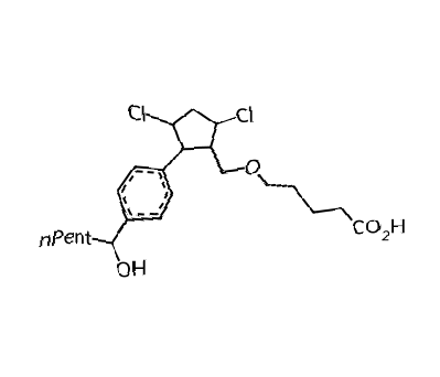 CCCCCC(O)c1ccc(C2C(Cl)CC(Cl)C2COCCCCC(=O)O)cc1